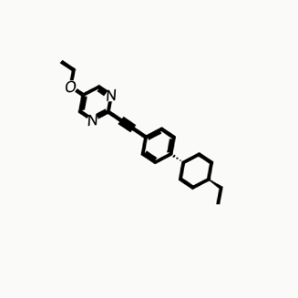 CCOc1cnc(C#Cc2ccc([C@H]3CC[C@H](CC)CC3)cc2)nc1